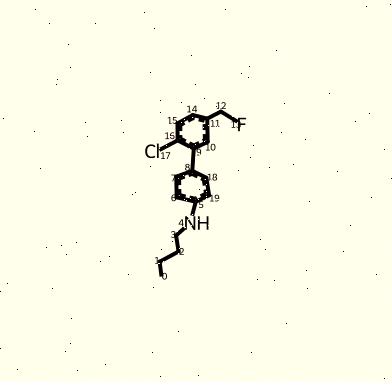 CCCCNc1ccc(-c2cc(CF)ccc2Cl)cc1